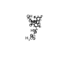 CS(=O)(=O)CCONCc1cc(C(=O)NOCCO)c(Nc2ccc(I)cc2F)c(F)c1F